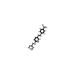 CCC(C[18F])COc1ccc(/C=C/c2ccc(N(C)C)cc2)cn1